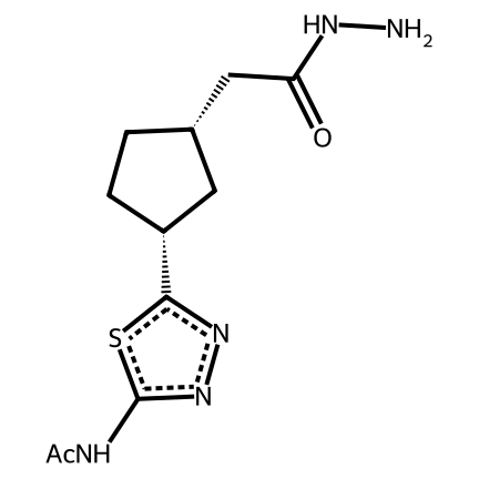 CC(=O)Nc1nnc([C@@H]2CC[C@H](CC(=O)NN)C2)s1